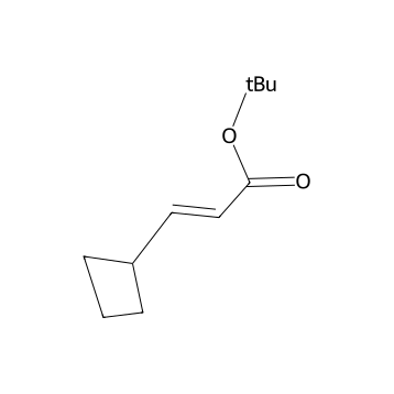 CC(C)(C)OC(=O)C=CC1CCC1